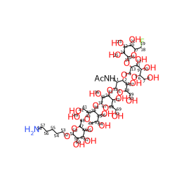 CC(=O)N[C@H]1C(O[C@@H]2OC(CO)[C@H](O)C(O)[C@@H]2O[C@@H]2OC(CF)[C@@H](O)C(O)[C@@H]2O)[C@@H](O)C(CO)O[C@H]1O[C@@H]1C(O)[C@@H](O[C@H]2C(CO)O[C@@H](O[C@@H]3C(CO)O[C@@H](OCCCCCN)C(O)C3O)[C@@H](O)C2O)OC(CO)[C@@H]1O